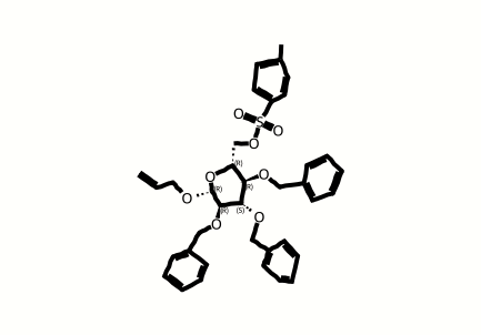 C=CCO[C@@H]1O[C@H](COS(=O)(=O)c2ccc(C)cc2)[C@@H](OCc2ccccc2)[C@H](OCc2ccccc2)[C@H]1OCc1ccccc1